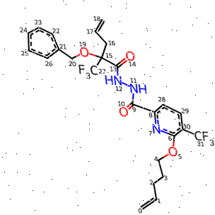 C=CCCCOc1nc(C(=O)NNC(=O)C(CC=C)(OCc2ccccc2)C(F)(F)F)ccc1C(F)(F)F